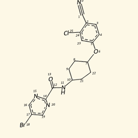 N#Cc1ccc(OC2CCC(NC(=O)c3ncc(Br)cn3)CC2)cc1Cl